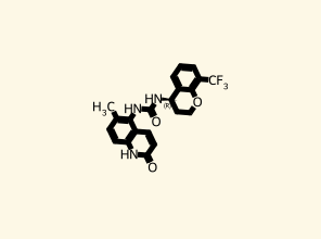 Cc1ccc2[nH]c(=O)ccc2c1NC(=O)N[C@@H]1CCOc2c1cccc2C(F)(F)F